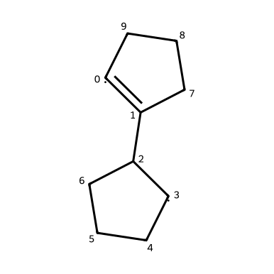 [C]1=C(C2[CH]CCC2)CCC1